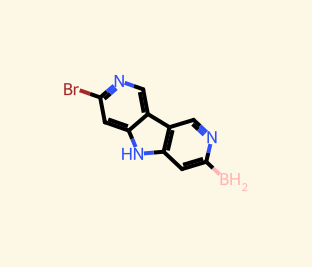 Bc1cc2[nH]c3cc(Br)ncc3c2cn1